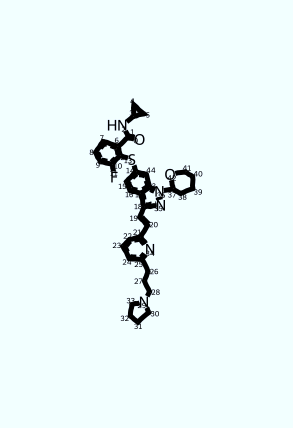 O=C(NC1CC1)c1cccc(F)c1Sc1ccc2c(/C=C/c3cccc(CCCN4CCCC4)n3)nn(C3CCCCO3)c2c1